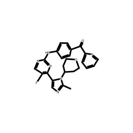 Cc1ncc(-c2nc(Nc3ccc(C(=O)c4ccccn4)cc3)ncc2F)n1C1CCOCC1